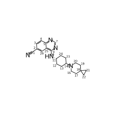 N#Cc1ccc2ncnc(N[C@H]3CC[C@H](N4CCC5(CC4)CC5)CC3)c2c1